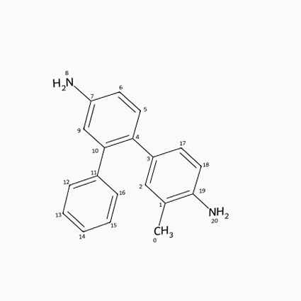 Cc1cc(-c2ccc(N)cc2-c2ccccc2)ccc1N